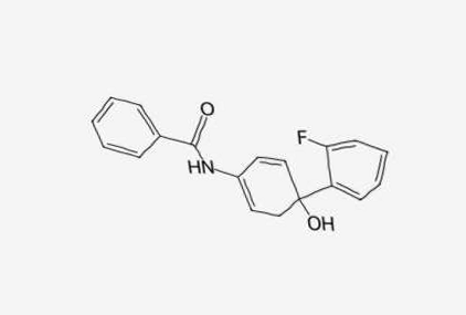 O=C(NC1=CCC(O)(c2ccccc2F)C=C1)c1ccccc1